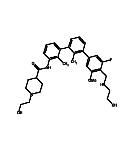 COc1cc(-c2cccc(-c3cccc(NC(=O)C4CCN(CCO)CC4)c3C)c2C)cc(F)c1CNCCO